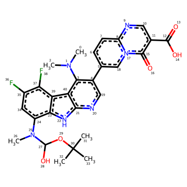 CN(C)c1c(-c2ccc3ncc(C(=O)O)c(=O)n3c2)cnc2[nH]c3c(N(C)C(O)OC(C)(C)C)cc(F)c(F)c3c12